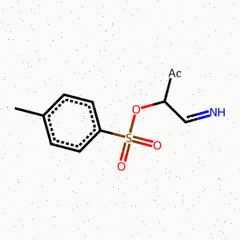 CC(=O)C(C=N)OS(=O)(=O)c1ccc(C)cc1